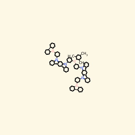 Cc1cc(C)c(B(c2cccc(-n3c4ccccc4c4cc5c6ccccc6n(-c6cccc(B7c8ccccc8-c8ccccc87)c6)c5cc43)c2)c2cccc(-n3c4ccccc4c4cc5c6ccccc6n(-c6cccc(B7c8ccccc8-c8ccccc87)c6)c5cc43)c2)c(C)c1